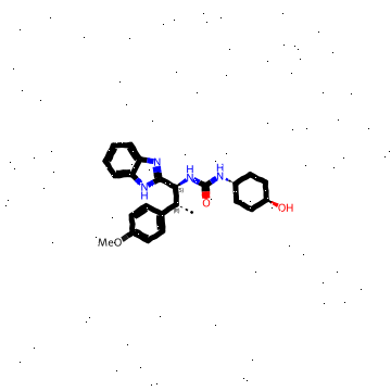 COc1ccc([C@@H](C)[C@H](NC(=O)N[C@H]2CC[C@H](O)CC2)c2nc3ccccc3[nH]2)cc1